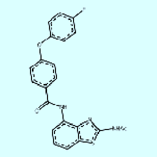 CC(=O)Nc1nc2c(NC(=O)c3ccc(Oc4ccc(F)cc4)cc3)cccc2s1